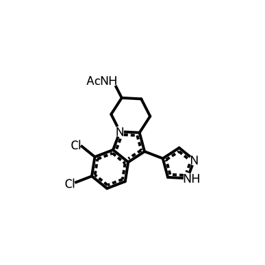 CC(=O)NC1CCc2c(-c3cn[nH]c3)c3ccc(Cl)c(Cl)c3n2C1